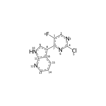 Fc1cnc(Cl)nc1-c1c[nH]c2ncccc12